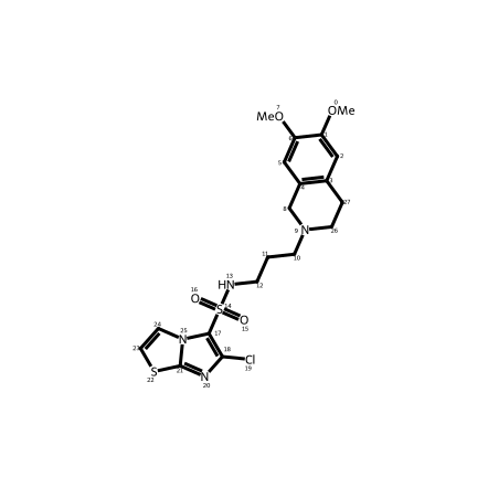 COc1cc2c(cc1OC)CN(CCCNS(=O)(=O)c1c(Cl)nc3sccn13)CC2